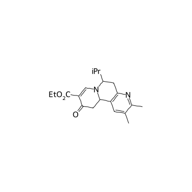 CCOC(=O)C1=CN2C(CC1=O)c1cc(C)c(C)nc1CC2C(C)C